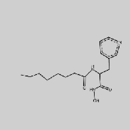 CCCCCCCC(=O)NC(Cc1cccnc1)C(=O)NO